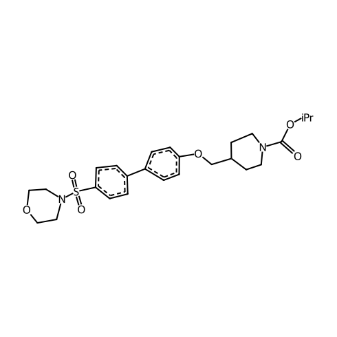 CC(C)OC(=O)N1CCC(COc2ccc(-c3ccc(S(=O)(=O)N4CCOCC4)cc3)cc2)CC1